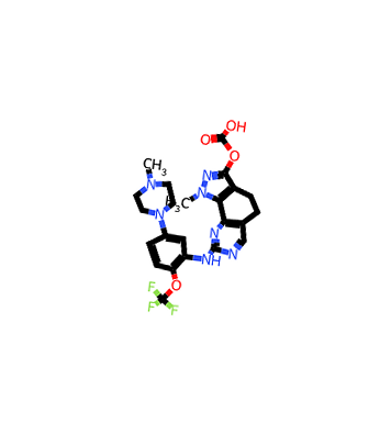 CN1CCN(c2ccc(OC(F)(F)F)c(Nc3ncc4c(n3)-c3c(c(OC(=O)O)nn3C)CC4)c2)CC1